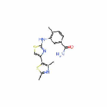 Cc1nc(C)c(-c2csc(Nc3cc(C(N)=O)ccc3C)n2)s1